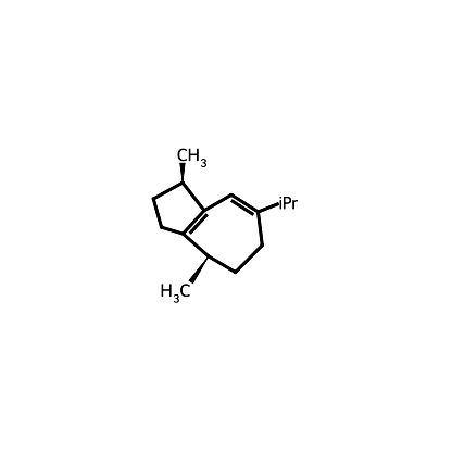 CC(C)C1=CC2=C(CC[C@H]2C)[C@H](C)CC1